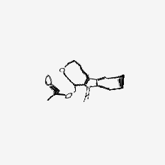 CC(=O)OC1OCCc2c1[nH]c1ccccc21